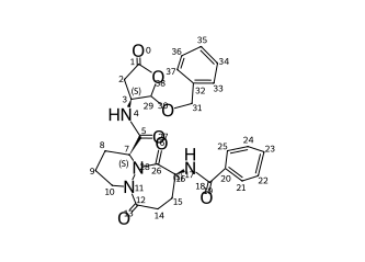 O=C1C[C@H](NC(=O)[C@@H]2CCCN3C(=O)CC[C@H](NC(=O)c4ccccc4)C(=O)N23)C(OCc2ccccc2)O1